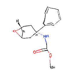 CC(C)(C)OC(=O)N[C@]1(c2ccccc2)CC2O[C@@H]2C1